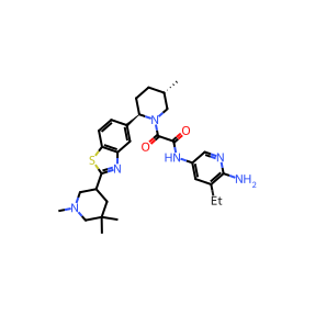 CCc1cc(NC(=O)C(=O)N2C[C@@H](C)CC[C@@H]2c2ccc3sc(C4CN(C)CC(C)(C)C4)nc3c2)cnc1N